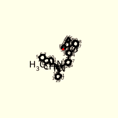 CC1(C)c2ccccc2-c2ccc(-c3nc(-c4ccccc4)nc(-c4cccc(-c5ccc6c(c5)Oc5ccccc5C65c6ccccc6-c6ccccc65)c4)n3)cc21